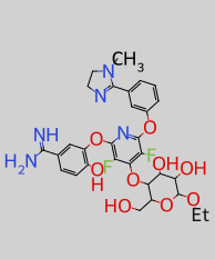 CCOC1OC(CO)C(Oc2c(F)c(Oc3cccc(C4=NCCN4C)c3)nc(Oc3cc(C(=N)N)ccc3O)c2F)C(O)C1O